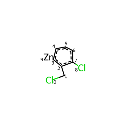 ClCc1ccccc1Cl.[Zn]